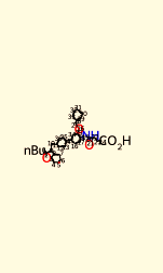 CCCCc1oc2ccccc2c1Cc1ccc(-c2ccc(NC(=O)CCC(=O)O)c(OCc3ccccc3)c2)cc1